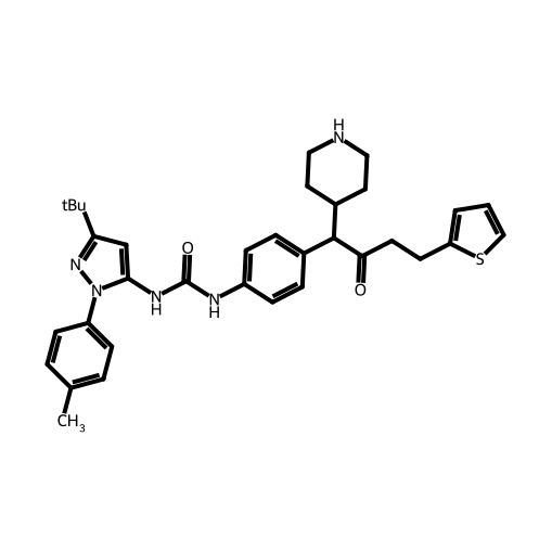 Cc1ccc(-n2nc(C(C)(C)C)cc2NC(=O)Nc2ccc(C(C(=O)CCc3cccs3)C3CCNCC3)cc2)cc1